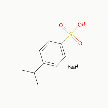 CC(C)c1ccc(S(=O)(=O)O)cc1.[NaH]